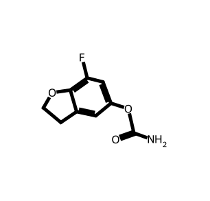 NC(=O)Oc1cc(F)c2c(c1)CCO2